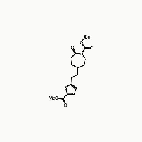 COC(=O)c1ccc(CCC2CCC(=O)N(C(=O)OC(C)(C)C)CC2)s1